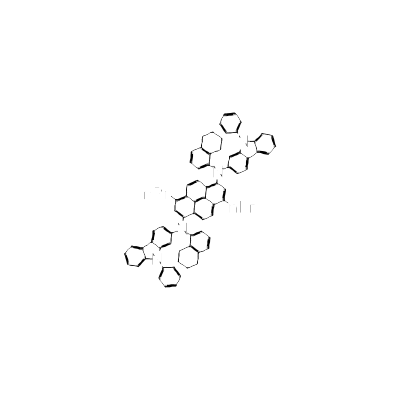 CCCc1cc(N(c2ccc3c4ccccc4n(-c4ccccc4)c3c2)c2cccc3c2CCCC3)c2ccc3c(CCC)cc(N(c4ccc5c6ccccc6n(-c6ccccc6)c5c4)c4cccc5c4CCCC5)c4ccc1c2c34